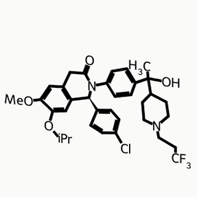 COc1cc2c(cc1OC(C)C)[C@H](c1ccc(Cl)cc1)N(c1ccc(C(C)(O)C3CCN(CCC(F)(F)F)CC3)cc1)C(=O)C2